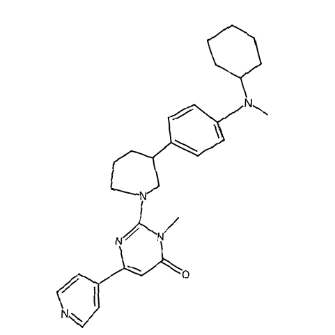 CN(c1ccc(C2CCCN(c3nc(-c4ccncc4)cc(=O)n3C)C2)cc1)C1CCCCC1